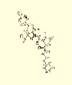 CC(=O)c1nn(CC(=O)N2[C@H](C)[C@@H](C)C[C@H]2C(=O)NCCCc2ccccc2)c2c(C)cc(-c3cnc(C)nc3)cc12